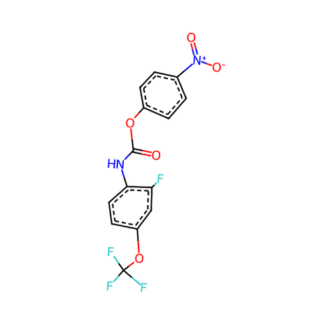 O=C(Nc1ccc(OC(F)(F)F)cc1F)Oc1ccc([N+](=O)[O-])cc1